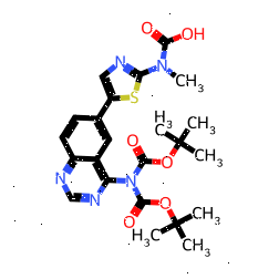 CN(C(=O)O)c1ncc(-c2ccc3ncnc(N(C(=O)OC(C)(C)C)C(=O)OC(C)(C)C)c3c2)s1